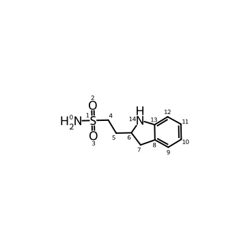 NS(=O)(=O)CCC1Cc2ccccc2N1